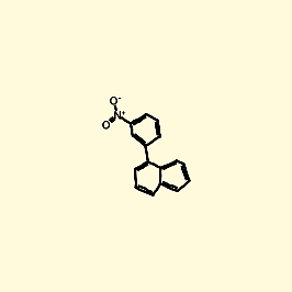 O=[N+]([O-])c1cccc(-c2cccc3ccccc23)c1